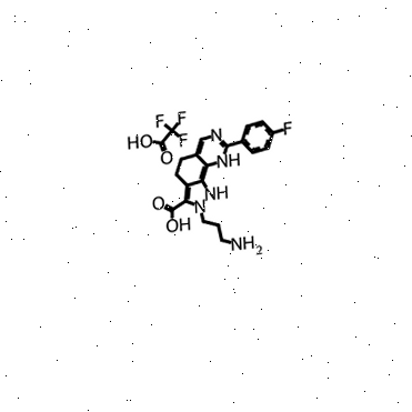 NCCCN1NC2=C3NC(c4ccc(F)cc4)=NC=C3CCC2=C1C(=O)O.O=C(O)C(F)(F)F